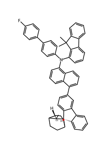 C[C@H]1C2CCCC(CC2)[C@@]12c1ccccc1-c1cc(-c3cccc4c(N(c5ccc(-c6ccc(F)cc6)cc5)c5cccc6c5C(C)(C)c5ccccc5-6)cccc34)ccc12